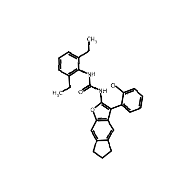 CCc1cccc(CC)c1NC(=O)Nc1oc2cc3c(cc2c1-c1ccccc1Cl)CCC3